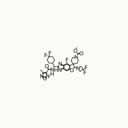 COC(=O)N1CCC(C(=O)N2CC(F)(F)C2)(c2ccc3[nH]c(C(NC(=O)c4nonc4C)C4CCC(F)(F)CC4)nc3c2F)CC1